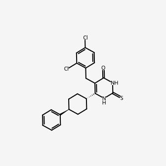 O=c1[nH]c(=S)[nH]c([C@H]2CC[C@H](c3ccccc3)CC2)c1Cc1ccc(Cl)cc1Cl